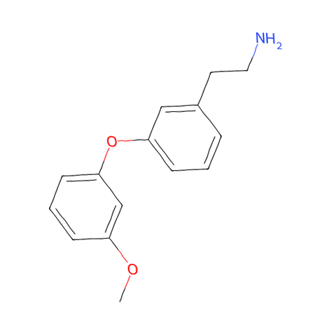 COc1cccc(Oc2cccc(CCN)c2)c1